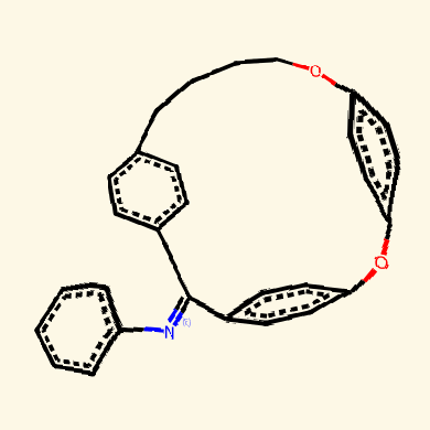 c1ccc(/N=C2\c3ccc(cc3)CCCCOc3ccc(cc3)Oc3ccc2cc3)cc1